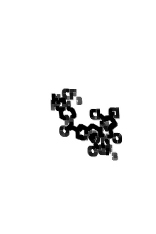 O=C(c1cc[n+](OC(=O)C(F)(F)F)c(Cc2c[nH]c(=O)c3cc(Cl)c(Cl)n23)c1)N1CCn2c(nnc2C(F)(F)F)C1